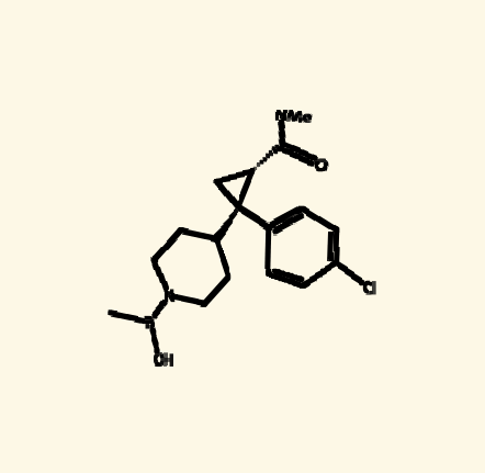 CNC(=O)[C@H]1C[C@]1(c1ccc(Cl)cc1)C1CCN(B(C)O)CC1